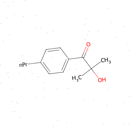 CCCc1ccc(C(=O)C(C)(C)O)cc1